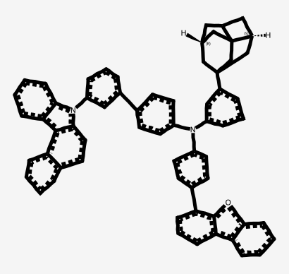 c1cc(-c2ccc(N(c3ccc(-c4cccc5c4oc4ccccc45)cc3)c3cccc(C45C[C@@H]6CC7C[C@@H](C4)C7(C6)C5)c3)cc2)cc(-n2c3ccccc3c3c4ccccc4ccc32)c1